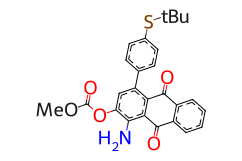 COC(=O)Oc1cc(-c2ccc(SC(C)(C)C)cc2)c2c(c1N)C(=O)c1ccccc1C2=O